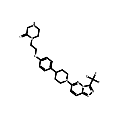 O=C1CNCCN1CCOc1ccc(C2CCN(c3ccc4nnc(C(F)(F)F)n4n3)CC2)cc1